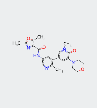 Cc1nc(C(=O)Nc2cnc(C)c(-c3cc(N4CCOCC4)c(=O)n(C)c3)c2)c(C)o1